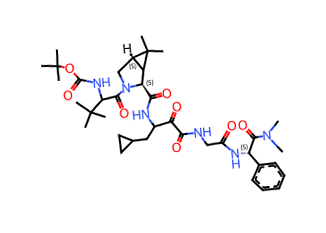 CN(C)C(=O)[C@@H](NC(=O)CNC(=O)C(=O)C(CC1CC1)NC(=O)[C@@H]1C2[C@H](CN1C(=O)C(NC(=O)OC(C)(C)C)C(C)(C)C)C2(C)C)c1ccccc1